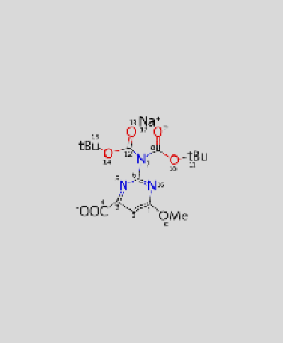 COc1cc(C(=O)[O-])nc(N(C(=O)OC(C)(C)C)C(=O)OC(C)(C)C)n1.[Na+]